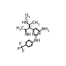 CN/C(C)=C(\C(C)=N)c1cc(N)nc(Nc2ccc(C(F)(F)F)cc2)n1